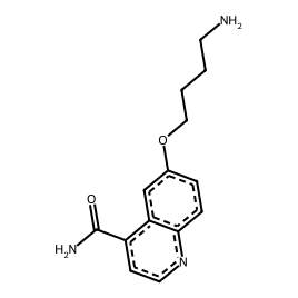 NCCCCOc1ccc2nccc(C(N)=O)c2c1